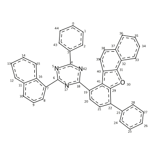 c1ccc(-c2nc(-c3cccc4ccccc34)nc(-c3ccc(-c4ccccc4)c4oc5c6ccccc6ccc5c34)n2)cc1